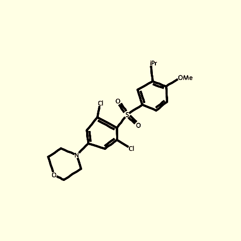 COc1ccc(S(=O)(=O)c2c(Cl)cc(N3CCOCC3)cc2Cl)cc1C(C)C